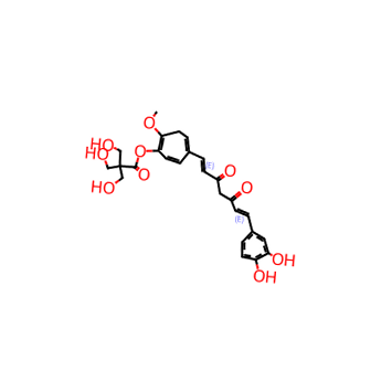 COC1=C(OC(=O)C(CO)(CO)CO)C=CC(/C=C/C(=O)CC(=O)/C=C/c2ccc(O)c(O)c2)=CC1